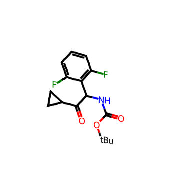 CC(C)(C)OC(=O)NC(C(=O)C1CC1)c1c(F)cccc1F